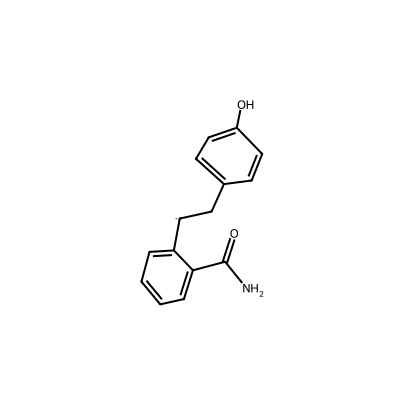 NC(=O)c1ccccc1[CH]Cc1ccc(O)cc1